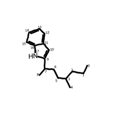 CCCC(C)CCC(C)c1cc2ccccc2[nH]1